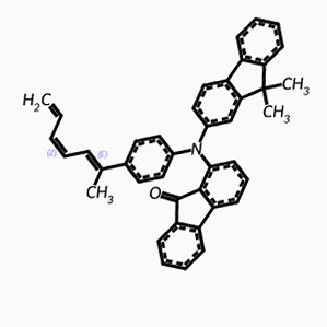 C=C/C=C\C=C(/C)c1ccc(N(c2ccc3c(c2)C(C)(C)c2ccccc2-3)c2cccc3c2C(=O)c2ccccc2-3)cc1